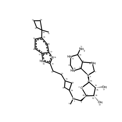 CN(C[C@H]1O[C@@H](N2CNC3C(N)NCNC32)[C@H](O)[C@@H]1O)C1CC(CCc2nc3cc(C4(C)CCC4)ccc3[nH]2)C1